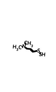 CN(C)C/C=C/SS